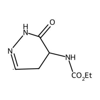 CCOC(=O)NC1C[C]=NNC1=O